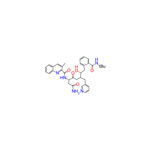 Cc1cc2ccccc2nc1C(=O)NC(CC(N)=O)C(=O)CC(Cc1cccnc1)C(O)Cc1ccccc1C(=O)NC(C)(C)C